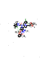 Cc1ccccc1C(=O)N(c1nn(CC(F)(F)F)c2c(-c3ccc(CCC(C)(C)S(C)(=O)=O)nc3[C@H](Cc3cc(F)cc(F)c3)NC(=O)Cn3nc(C(F)(F)F)c4c3C(F)(F)[C@@H]3C[C@H]43)ccc(Cl)c12)S(C)(=O)=O